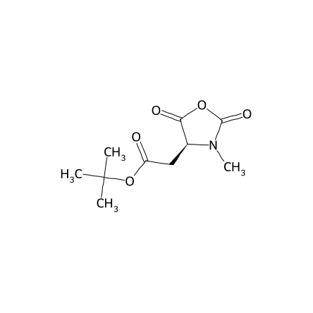 CN1C(=O)OC(=O)[C@@H]1CC(=O)OC(C)(C)C